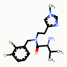 CC(C)[C@H](N)C(=O)N(CCc1cn(C)cn1)Cc1cccc(Cl)c1Cl